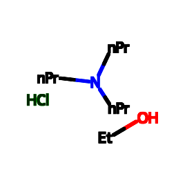 CCCN(CCC)CCC.CCO.Cl